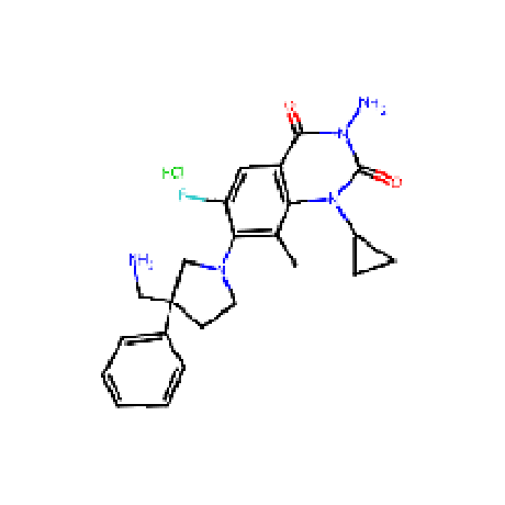 Cc1c(N2CCC(CN)(c3ccccc3)C2)c(F)cc2c(=O)n(N)c(=O)n(C3CC3)c12.Cl